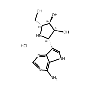 Cl.Nc1ncnc2c([C@@H]3N[C@H](CO)[C@@H](O)[C@H]3O)c[nH]c12